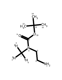 [2H]C([2H])([2H])N(CCN)C(=O)OC(C)(C)C